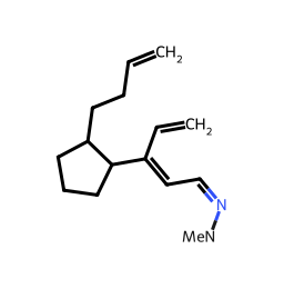 C=CCCC1CCCC1/C(C=C)=C/C=N\NC